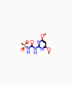 COc1cc(OC)nc(NC(=O)NS(C)(=O)=O)n1